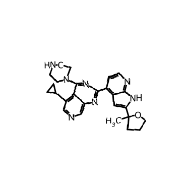 CC1(c2cc3c(-c4nc(N5CCNCC5)c5c(C6CC6)cncc5n4)ccnc3[nH]2)CCCO1